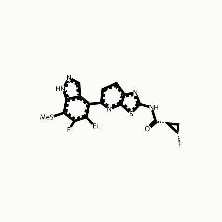 CCc1c(F)c(SC)c2[nH]ncc2c1-c1ccc2nc(NC(=O)[C@@H]3C[C@@H]3F)sc2n1